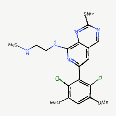 COc1cc(OC)c(Cl)c(-c2cc3cnc(SC)nc3c(NCCNSC)n2)c1Cl